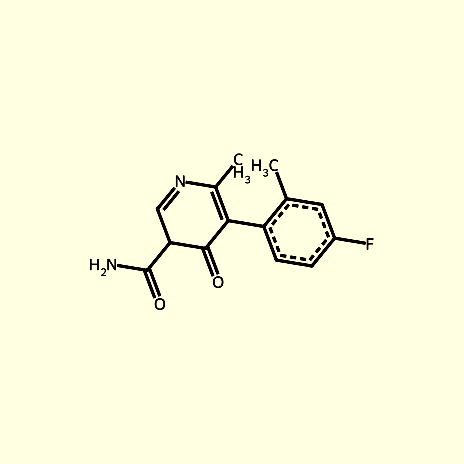 CC1=C(c2ccc(F)cc2C)C(=O)C(C(N)=O)C=N1